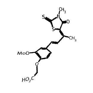 COc1cc(C=CC(C)=C2SC(=S)N(C)C2=O)ccc1OCC(=O)O